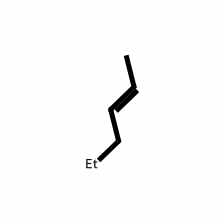 [CH2]CC/C=C/C